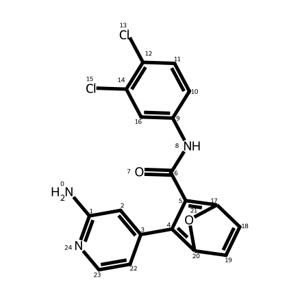 Nc1cc(-c2c(C(=O)Nc3ccc(Cl)c(Cl)c3)c3ccc2o3)ccn1